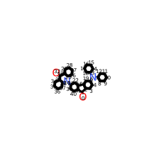 O=C1c2ccc(N(c3ccccc3)c3ccccc3)cc2-c2cc(-n3c4ccccc4c(=O)c4ccccc43)ccc21